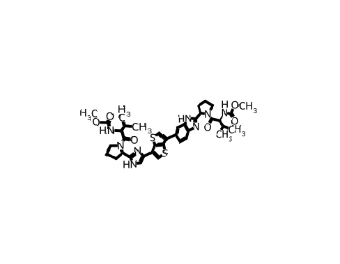 COC(=O)NC(C(=O)N1CCCC1c1nc(-c2csc3c(-c4ccc5nc(C6CCCN6C(=O)[C@@H](NC(=O)OC)C(C)C)[nH]c5c4)csc23)c[nH]1)C(C)C